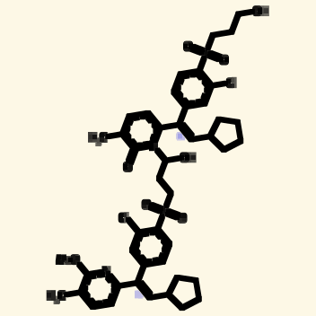 COc1nc(/C(=C/C2CCCC2)c2ccc(S(=O)(=O)CCC(O)n3c(/C(=C/C4CCCC4)c4ccc(S(=O)(=O)CCCO)c(Cl)c4)ccc(C)c3=O)c(Cl)c2)ccc1C